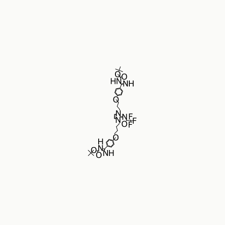 CC(C)(C)OC(=O)NC(=N)c1ccc(OCCCCn2ccn(CCCOc3ccc(C(=N)NC(=O)OC(C)(C)C)cc3)/c2=N/C(=O)C(F)(F)F)cc1